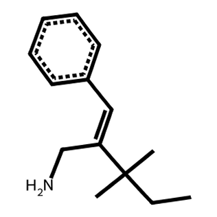 CCC(C)(C)C(=Cc1ccccc1)CN